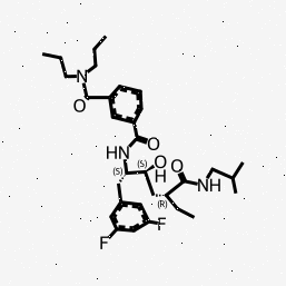 CCCN(CCC)C(=O)c1cccc(C(=O)N[C@@H](Cc2cc(F)cc(F)c2)[C@@H](O)C[C@@H](CC)C(=O)NCC(C)C)c1